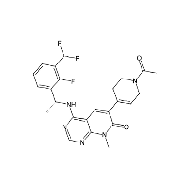 CC(=O)N1CC=C(c2cc3c(N[C@H](C)c4cccc(C(F)F)c4F)ncnc3n(C)c2=O)CC1